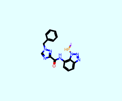 O=C(Nc1cccc2nnn(PI)c12)c1ncn(Cc2ccccc2)n1